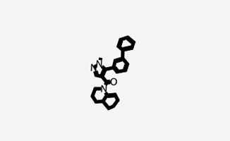 Cn1ncc(C(=O)N2CCCC3CCCC=C32)c1-c1cccc(-c2ccccc2)c1